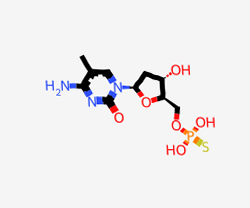 Cc1cn([C@H]2C[C@H](O)[C@@H](COP(O)(O)=S)O2)c(=O)nc1N